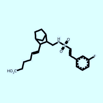 O=C(O)CCCC=CC1C2CCC(C2)C1CNS(=O)(=O)C=Cc1cccc(F)c1